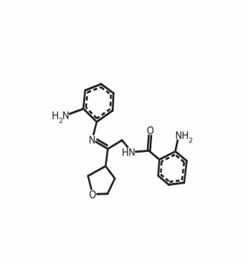 Nc1ccccc1N=C(CNC(=O)c1ccccc1N)C1CCOC1